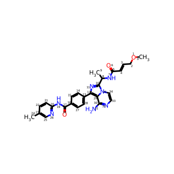 COC/C=C/C(=O)NC(C)c1nc(-c2ccc(C(=O)Nc3ccc(C)cn3)cc2)c2c(N)nccn12